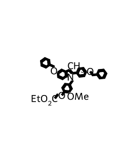 CCOC(=O)COc1ccc(Cn2c(-c3ccc(OCc4ccccc4)cc3)c(C)c3cc(OCc4ccccc4)ccc32)cc1OC